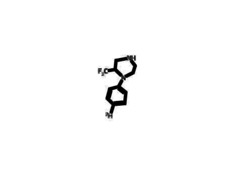 [2H]c1ccc(N2CCNCC2C(F)(F)F)cc1